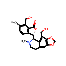 COc1ccc2c(c1CO)C(=O)O[C@@H]2[C@H]1c2c(cc3c(c2CO)OCO3)CCN1C